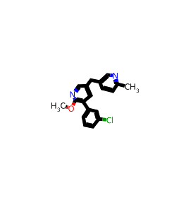 COc1ncc(Cc2ccc(C)nc2)cc1-c1cccc(Cl)c1